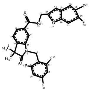 CC1(C)C(=O)N(Cc2c(F)cc(F)cc2F)c2cc(C(=O)NCc3cc4cc(F)c(F)cc4o3)ccc21